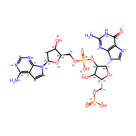 Nc1nc2c(ncn2[C@@H]2O[C@H](CO[PH](=O)O)C(O)C2OP(=O)(O)OC[C@H]2O[C@@H](n3ccc4c(N)ncnc43)CC2O)c(=O)[nH]1